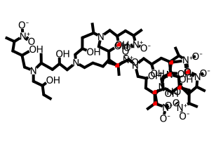 CCC(O)CN(CC(O)CC(C)[N+](=O)[O-])C(C)CC(O)CN(CCCCCCN(CC(O)CC(C)N(CC(O)CC(C)[N+](=O)[O-])CC(O)CC(C)[N+](=O)[O-])CC(O)CC(C)N(CC(O)CC(C)[N+](=O)[O-])CC(O)CC(C)[N+](=O)[O-])CC(O)CC(C)N(CC(O)CC(C)[N+](=O)[O-])CC(O)CC(C)[N+](=O)[O-]